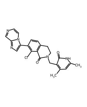 Cc1cc(C)c(CN2CCc3ccc(-c4cnc5cnccn45)c(Cl)c3C2=O)c(=O)[nH]1